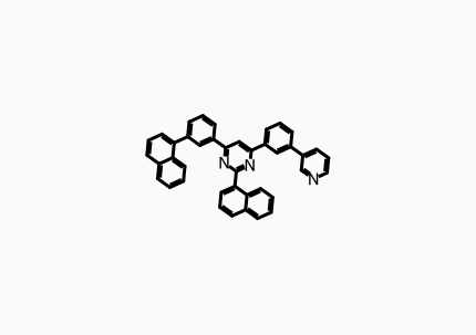 c1cncc(-c2cccc(-c3cc(-c4cccc(-c5cccc6ccccc56)c4)nc(-c4cccc5ccccc45)n3)c2)c1